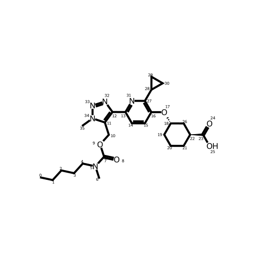 CCCCCN(C)C(=O)OCc1c(-c2ccc(O[C@H]3CCC[C@H](C(=O)O)C3)c(C3CC3)n2)nnn1C